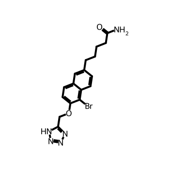 NC(=O)CCCCc1ccc2c(Br)c(OCc3nnn[nH]3)ccc2c1